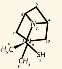 C[C@H](S)N1C2CC1CN(C)C2